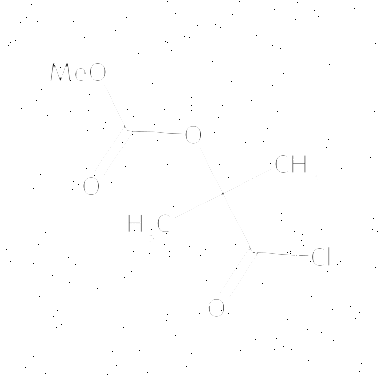 COC(=O)OC(C)(C)C(=O)Cl